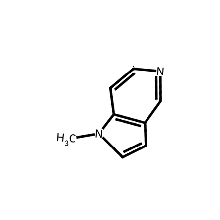 Cn1ccc2cn[c]cc21